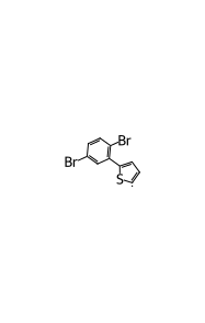 Brc1ccc(Br)c(-c2cc[c]s2)c1